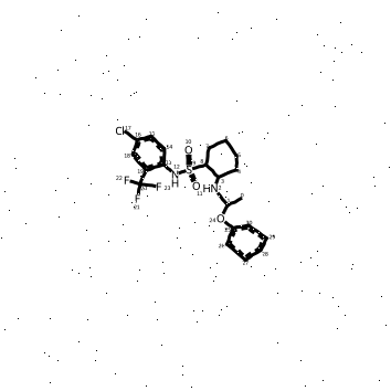 CC(NC1CCCCC1S(=O)(=O)Nc1ccc(Cl)cc1C(F)(F)F)Oc1ccccc1